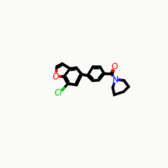 O=C(c1ccc(-c2cc(Cl)c3occc3c2)cc1)N1CCCCC1